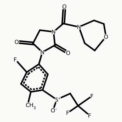 Cc1cc(F)c(N2C(=O)CN(C(=O)N3CCOCC3)C2=O)cc1[S+]([O-])CC(F)(F)F